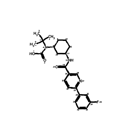 CC(C)(C)N(C(=O)O)[C@H]1CCC[C@@H](NC(=O)c2ccc(-c3cccc(F)c3)nc2)C1